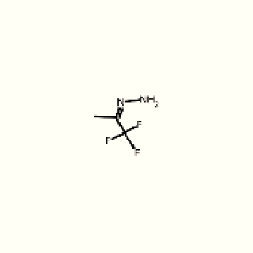 CC(=NN)C(F)(F)F